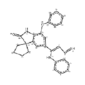 N=C/C=C(\Nc1ccccc1)c1cc(Oc2ccccn2)c2c(c1)C1(CCCC1)C(=O)N2